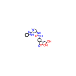 CN1CC[C@@H](NC(=O)Nc2ccc(C#N)c(/C(=C/C(=O)O)C(=O)O)c2)CC1c1nc2ccccc2[nH]1